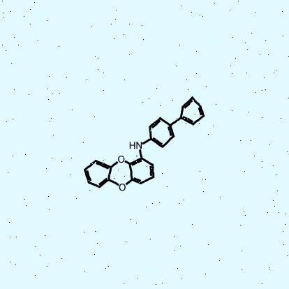 c1ccc(-c2ccc(Nc3cccc4c3Oc3ccccc3O4)cc2)cc1